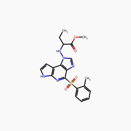 CCC(Nn1cnc2c(S(=O)(=O)c3ccccc3C)nc3[nH]ccc3c21)C(=O)OC